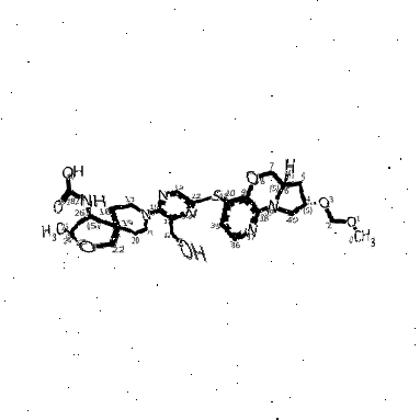 COCO[C@H]1C[C@H]2COc3c(Sc4cnc(N5CCC6(CC5)CO[C@@H](C)[C@H]6NC(=O)O)c(CO)n4)ccnc3N2C1